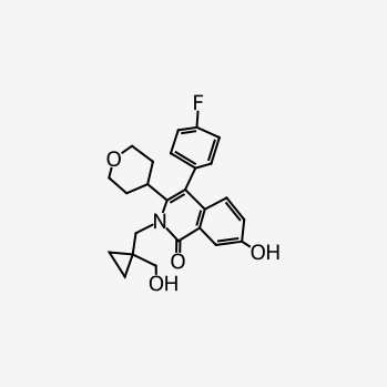 O=c1c2cc(O)ccc2c(-c2ccc(F)cc2)c(C2CCOCC2)n1CC1(CO)CC1